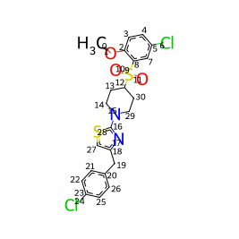 COc1ccc(Cl)cc1S(=O)(=O)C1CCN(c2nc(Cc3ccc(Cl)cc3)cs2)CC1